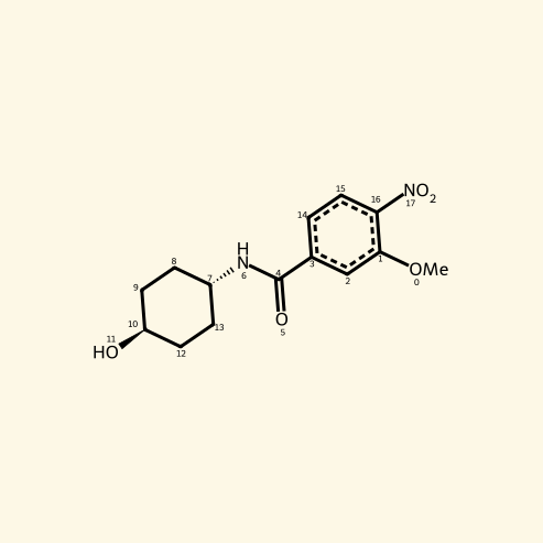 COc1cc(C(=O)N[C@H]2CC[C@H](O)CC2)ccc1[N+](=O)[O-]